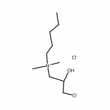 CCCCC[N+](C)(C)CC(O)CCl.[Cl-]